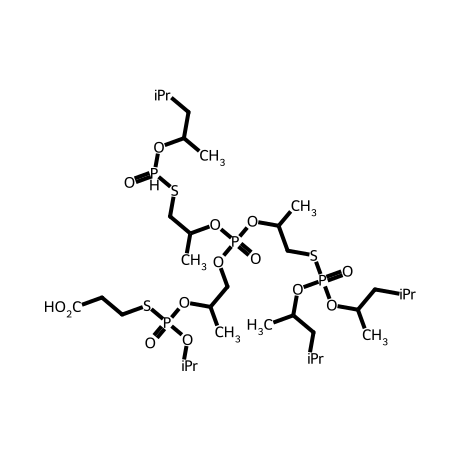 CC(C)CC(C)O[PH](=O)SCC(C)OP(=O)(OCC(C)OP(=O)(OC(C)C)SCCC(=O)O)OC(C)CSP(=O)(OC(C)CC(C)C)OC(C)CC(C)C